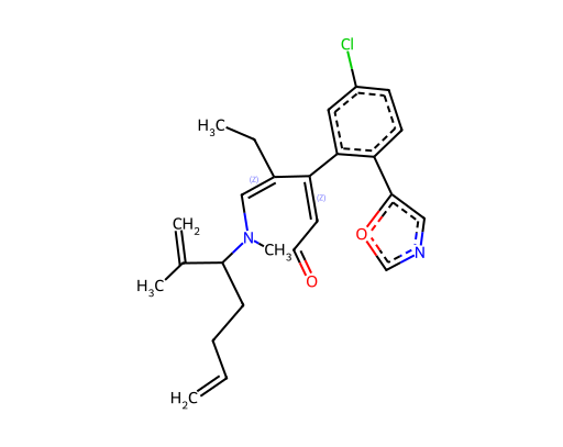 C=CCCC(C(=C)C)N(C)/C=C(CC)\C(=C/C=O)c1cc(Cl)ccc1-c1cnco1